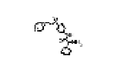 NC(C(=O)Nc1ccc(C2(CCN3CCOCC3)CC2)cc1)c1ccccc1